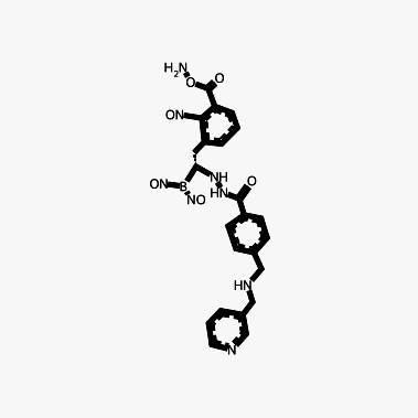 NOC(=O)c1cccc(C[C@H](NNC(=O)c2ccc(CNCc3cccnc3)cc2)B(N=O)N=O)c1N=O